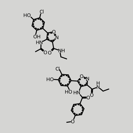 CCNC(=O)c1noc(-c2cc(Cl)c(O)cc2O)c1NC(=O)c1ccc(OC)cc1.CCNC(=O)c1noc(-c2cc(Cl)c(O)cc2O)c1NC(C)=O